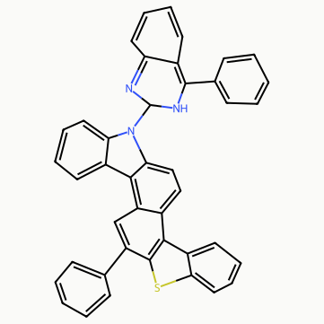 c1ccc(C2=c3ccccc3=NC(n3c4ccccc4c4c5cc(-c6ccccc6)c6sc7ccccc7c6c5ccc43)N2)cc1